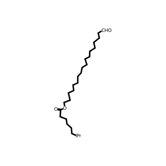 CC(C)CCCCCC(=O)OCCCCCCCCCCCCCCCCCC=O